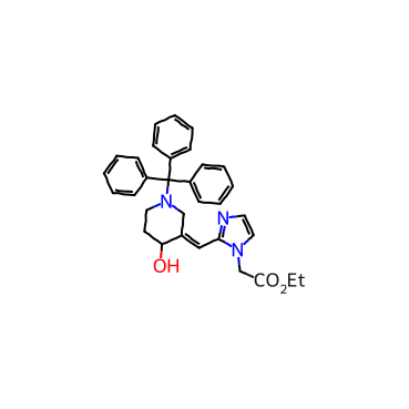 CCOC(=O)Cn1ccnc1/C=C1\CN(C(c2ccccc2)(c2ccccc2)c2ccccc2)CCC1O